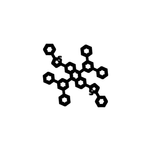 c1ccc(-c2cc(-c3ccccc3)cc(-c3c4ccc(-c5ccc(-c6ccccc6)s5)cc4c(-c4cc(-c5ccccc5)cc(-c5ccccc5)c4)c4ccc(-c5ccc(-c6ccccc6)s5)cc34)c2)cc1